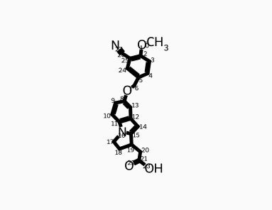 COc1ccc(COc2ccc3c(c2)cc2n3CCC2CC(=O)O)cc1C#N